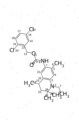 CCN1c2cc(C)c(NC(=O)OCc3cc(Cl)ccc3Cl)cc2C(C)CC1(C)C